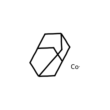 C1C2CC3CC1CC(C2)C3.[Co]